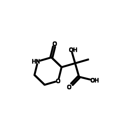 CC(O)(C(=O)O)C1OCCNC1=O